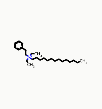 CCCCCCCCCCCCCC[N+](CC)(CC)CCc1ccccc1